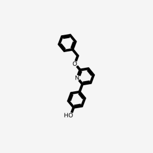 Oc1ccc(-c2cccc(OCc3ccccc3)n2)cc1